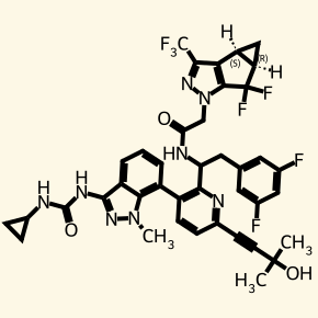 Cn1nc(NC(=O)NC2CC2)c2cccc(-c3ccc(C#CC(C)(C)O)nc3C(Cc3cc(F)cc(F)c3)NC(=O)Cn3nc(C(F)(F)F)c4c3C(F)(F)[C@@H]3C[C@H]43)c21